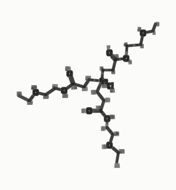 CCOCCOC(=O)C[CH2][Sn]([Cl])([CH2]CC(=O)OCCOCC)[CH2]CC(=O)OCCOCC